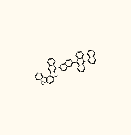 c1ccc2c(-c3c4ccccc4c(-c4ccc5cc(-c6c7ccccc7cc7c6oc6ccc8oc9ccccc9c8c67)ccc5c4)c4ccccc34)cccc2c1